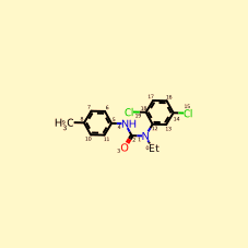 CCN(C(=O)Nc1ccc(C)cc1)c1cc(Cl)ccc1Cl